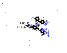 Clc1cccc(C(c2ccc3[nH]cnc3c2)n2ccnc2)c1.Nc1nc(=O)c2c([nH]1)NC[C@H](CCc1ccc(C(=O)N[C@@H](CCC(=O)O)C(=O)O)cc1)C2